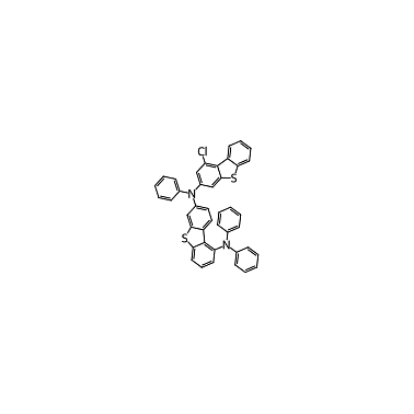 Clc1cc(N(c2ccccc2)c2ccc3c(c2)sc2cccc(N(c4ccccc4)c4ccccc4)c23)cc2sc3ccccc3c12